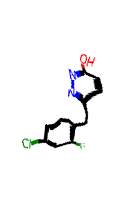 Oc1ccc(Cc2ccc(Cl)cc2F)nn1